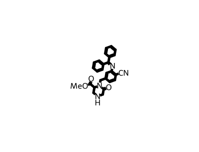 COC(=O)C1CNCC(=O)N1Cc1ccc(C#N)c(N=C(c2ccccc2)c2ccccc2)c1